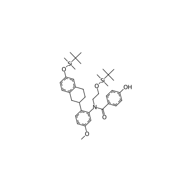 COc1ccc(C2CCc3cc(O[Si](C)(C)C(C)(C)C)ccc3C2)c(N(CCO[Si](C)(C)C(C)(C)C)C(=O)c2ccc(O)cc2)c1